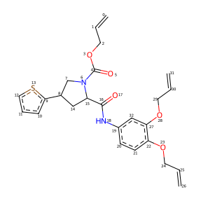 C=CCOC(=O)N1CC(c2cccs2)CC1C(=O)Nc1ccc(OCC=C)c(OCC=C)c1